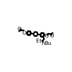 CCCCC(CC)Cc1cc(C2CCC(c3ccc(OCC4CO4)cc3)CC2)ccc1OCC1CO1